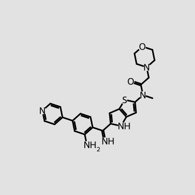 CN(C(=O)CN1CCOCC1)c1cc2[nH]c(C(=N)c3ccc(-c4ccncc4)cc3N)cc2s1